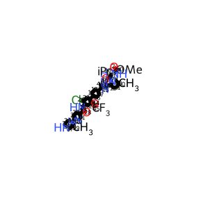 COC(=O)N[C@H](C(=O)N1C[C@@H](C)CC[C@H]1c1nc(-c2ccc(-c3cc(Cl)c(NC(=O)c4ccc(N5CCNC[C@H]5C)nc4)cc3OC(F)(F)F)cc2)c[nH]1)C(C)C